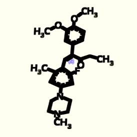 CCC(=O)/C(=C\c1c(C)cc(N2CCN(C)CC2)cc1F)c1ccc(OC)c(OC)c1